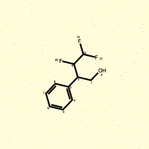 OCC(c1ccccc1)C(F)C(F)F